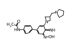 CC(=O)Nc1ccc(C2=C/C(=N/O)C(=N)C(N3CC(CN4CCCC4)C3)=C2)cc1